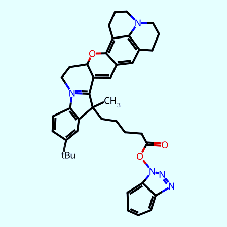 CC(C)(C)c1ccc2c(c1)C(C)(CCCCC(=O)On1nnc3ccccc31)C1=[N+]2CCC2Oc3c(cc4c5c3CCCN5CCC4)C=C12